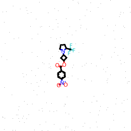 O=C(OC1CC(N2CCCC2C(F)(F)F)C1)c1ccc([N+](=O)[O-])cc1